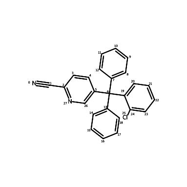 N#Cc1ccc(C(c2ccccc2)(c2ccccc2)c2ccccc2Cl)cn1